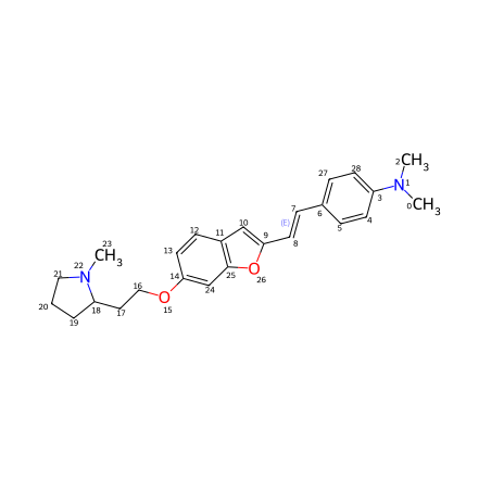 CN(C)c1ccc(/C=C/c2cc3ccc(OCCC4CCCN4C)cc3o2)cc1